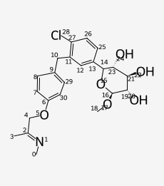 CN=C(C)COc1ccc(Cc2cc(C3O[C@H](OC)[C@@H](O)[C@H](O)[C@H]3O)ccc2Cl)cc1